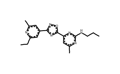 CCCNc1nc(C)cc(-c2nc(-c3cc(C)nc(CC)c3)no2)n1